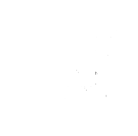 Clc1cccc(C2=CC=CC(c3nc(-c4ccccc4)nc(-c4cccc5c4oc4ccccc45)n3)C2)c1